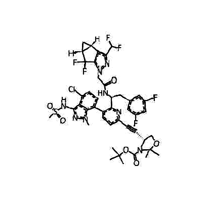 Cn1nc(NS(C)(=O)=O)c2c(Cl)ccc(-c3ccc(C#C[C@@H]4COC(C)(C)N4C(=O)OC(C)(C)C)nc3[C@H](Cc3cc(F)cc(F)c3)NC(=O)Cn3nc(C(F)F)c4c3C(F)(F)[C@@H]3C[C@H]43)c21